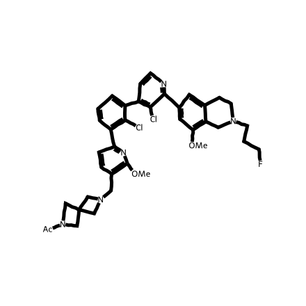 COc1cc(-c2nccc(-c3cccc(-c4ccc(CN5CC6(C5)CN(C(C)=O)C6)c(OC)n4)c3Cl)c2Cl)cc2c1CN(CCCF)CC2